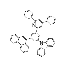 c1ccc(-c2cc(-c3ccccc3)nc(-c3cc(-c4cc5ccccc5c5ccccc45)cc(-n4c5ccccc5c5ccccc54)c3)c2)cc1